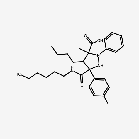 CCCCC1C(C(=O)NCCCCCO)(c2ccc(F)cc2)NN(c2ccccc2)C1(C)C(=O)O